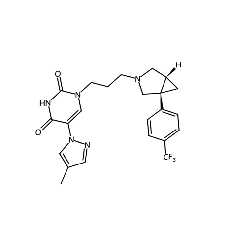 Cc1cnn(-c2cn(CCCN3C[C@@H]4C[C@]4(c4ccc(C(F)(F)F)cc4)C3)c(=O)[nH]c2=O)c1